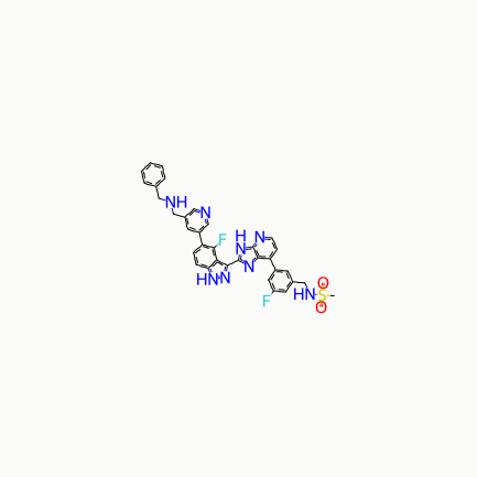 CS(=O)(=O)NCc1cc(F)cc(-c2ccnc3[nH]c(-c4n[nH]c5ccc(-c6cncc(CNCc7ccccc7)c6)c(F)c45)nc23)c1